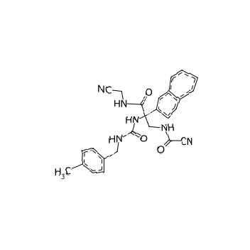 Cc1ccc(CNC(=O)NC(CNC(=O)C#N)(C(=O)NCC#N)c2ccc3ccccc3c2)cc1